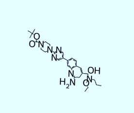 CCCN(OCC)C(O)C1=Cc2ccc(-c3cnc(N4CCN(C(=O)OC(C)(C)C)CC4)nc3)cc2N=C(N)C1